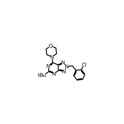 CC(C)(C)c1nc(N2CCOCC2)c2nn(Cc3ccccc3Cl)nc2n1